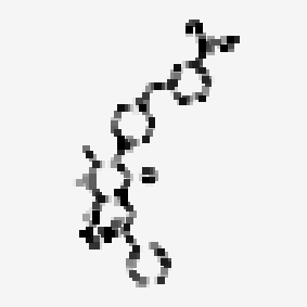 Cc1c(N2CCN(Cc3cccc([N+](=O)[O-])c3)CC2)c(=O)n(C[C@H](N)c2ccccc2)c(=O)n1C